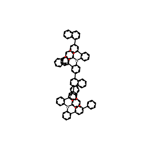 c1ccc(-c2ccc(-c3ccccc3N(c3ccccc3-c3cccc(-c4ccc(-c5ccc(N(c6ccccc6-c6cccc(-c7cccc8ccccc78)c6)c6cccc7c6oc6ccccc67)c(-c6ccccc6)c5)c5ccccc45)c3)c3cccc4c3oc3ccccc34)cc2)cc1